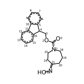 O=C(OCC1c2ccccc2-c2ccccc21)N1CCCC(=NO)CC1